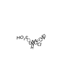 O=C(O)[C@H]1CC[C@H](Oc2nc3nc(-c4ccc(N5CCCC5)cc4)c(Cl)cc3[nH]2)CC1